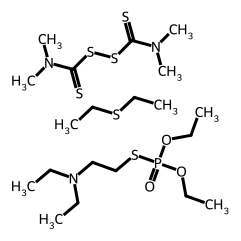 CCOP(=O)(OCC)SCCN(CC)CC.CCSCC.CN(C)C(=S)SSC(=S)N(C)C